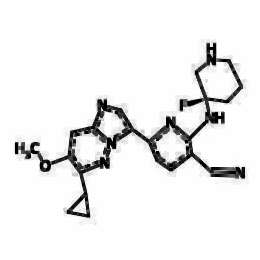 COc1cc2ncc(-c3ccc(C#N)c(N[C@@]4(F)CCCNC4)n3)n2nc1C1CC1